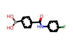 O=C(Nc1ccc(F)cc1)c1ccc(B(O)O)cc1